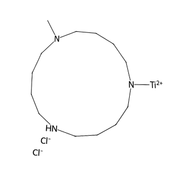 CN1CCCCNCCCC[N]([Ti+2])CCCC1.[Cl-].[Cl-]